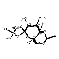 CCC[CH2][Sn]([CH2]CCC)([CH2]CCC)[O]C1(O)O[C@@H]2COC(C)O[C@H]2[C@H](OC(C)=O)[C@H]1OC(C)=O